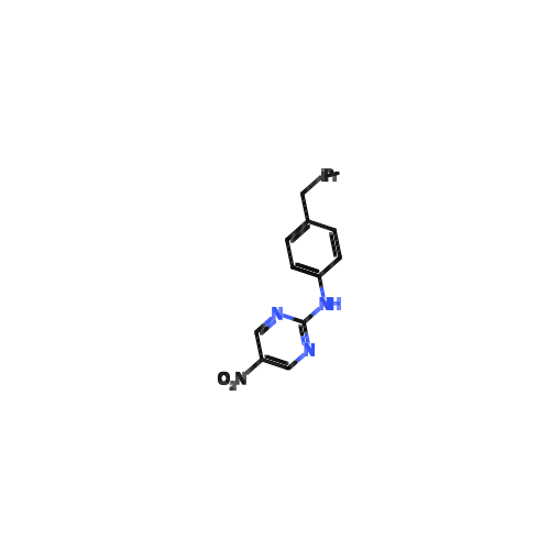 CC(C)Cc1ccc(Nc2ncc([N+](=O)[O-])cn2)cc1